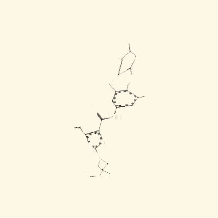 CCc1oc(N2CC(C)(OC)C2)nc1C(=O)Nc1cc(O)c(OC2CCC(C)C2)c(Cl)c1